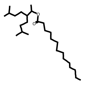 CCCCCCCCCCCCCC(=O)OC(C)C(CCC(C)C)CCC(C)C